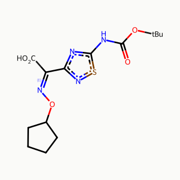 CC(C)(C)OC(=O)Nc1nc(/C(=N\OC2CCCC2)C(=O)O)ns1